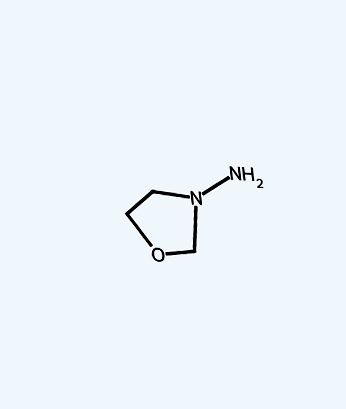 NN1CCOC1